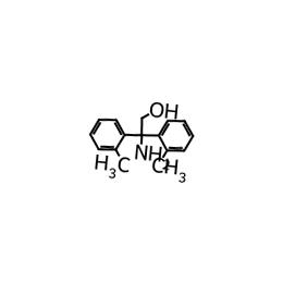 Cc1ccccc1C(N)(CO)c1ccccc1C